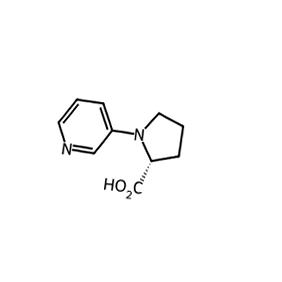 O=C(O)[C@H]1CCCN1c1cccnc1